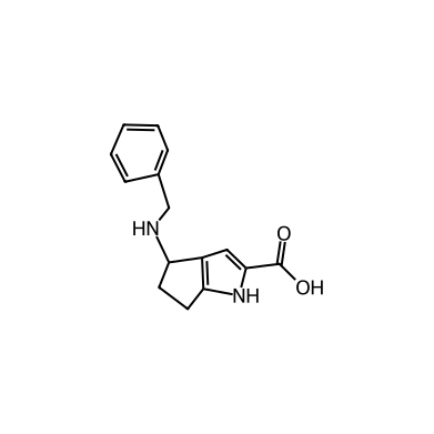 O=C(O)c1cc2c([nH]1)CCC2NCc1ccccc1